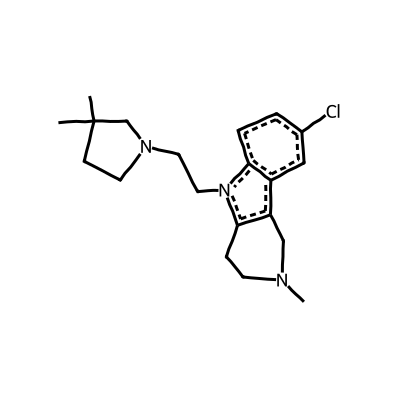 CN1CCc2c(c3cc(Cl)ccc3n2CCN2CCC(C)(C)C2)C1